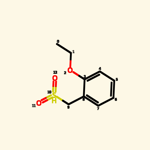 CCOc1ccccc1C[SH](=O)=O